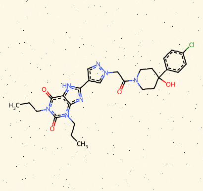 CCCn1c(=O)c2[nH]c(-c3cnn(CC(=O)N4CCC(O)(c5ccc(Cl)cc5)CC4)c3)nc2n(CCC)c1=O